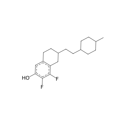 CC1CCC(CCC2CCc3cc(O)c(F)c(F)c3C2)CC1